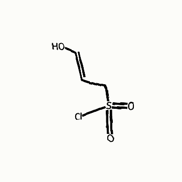 O=S(=O)(Cl)CC=CO